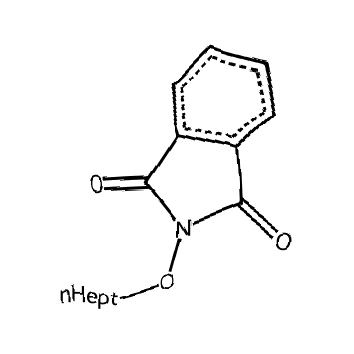 CCCCCCCON1C(=O)c2ccccc2C1=O